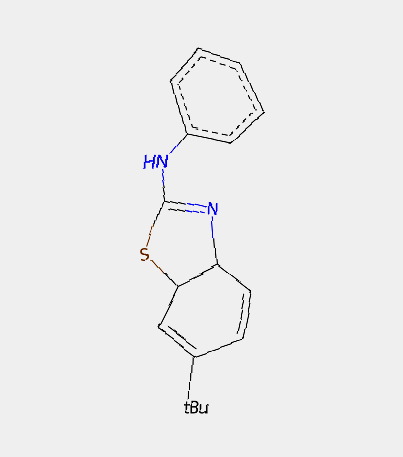 CC(C)(C)C1=CC2SC(Nc3ccccc3)=NC2C=C1